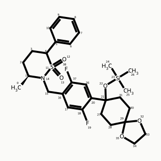 C[C@H]1CCC(c2ccccc2)S(=O)(=O)N1Cc1cc(F)c(C2(O[Si](C)(C)C)CCC3(CC2)OCCO3)cc1F